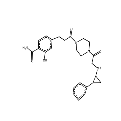 NC(=O)c1ccc(CCC(=O)N2CCN(C(=O)CNC3CC3c3ccccc3)CC2)cc1O